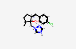 CC1CC/C(=C/c2ccc(Cl)cc2)C1(O)Cn1cncn1